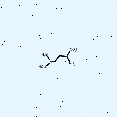 NN(CCN(N)C(=O)O)C(=O)O